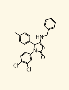 Cc1ccc(C2C(NCc3ccccc3)=NC(=O)N2c2ccc(Cl)c(Cl)c2)cc1